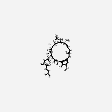 COc1cc2cc(c1Cl)N(C)C(=O)C[C@H](OC(=O)CN(C)C(=O)CCN(C)C)[C@]1(C)OC1[C@H](C)C1CC(NC(=O)O1)[C@H](OC)/C=C/C=C(\C)C2